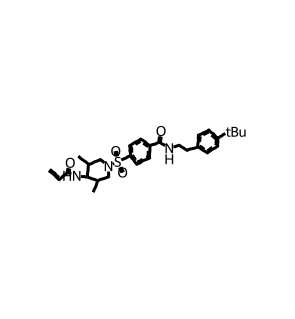 C=CC(=O)NC1C(C)CN(S(=O)(=O)c2ccc(C(=O)NCCc3ccc(C(C)(C)C)cc3)cc2)CC1C